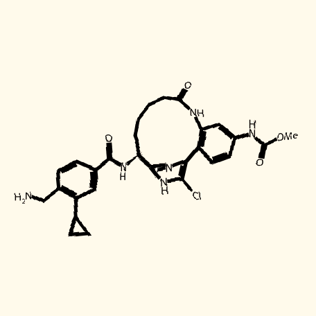 COC(=O)Nc1ccc2c(c1)NC(=O)CCCC[C@H](NC(=O)c1ccc(CN)c(C3CC3)c1)c1nc-2c(Cl)[nH]1